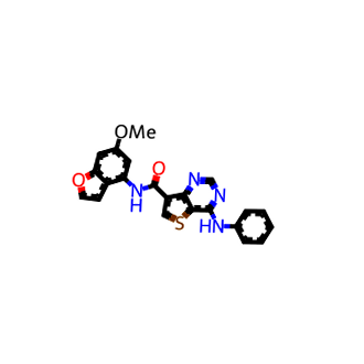 COc1cc(NC(=O)c2csc3c(Nc4ccccc4)ncnc23)c2ccoc2c1